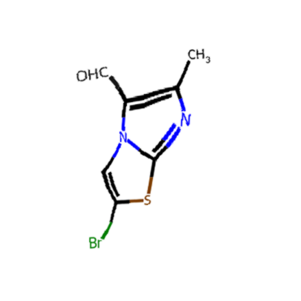 Cc1nc2sc(Br)cn2c1C=O